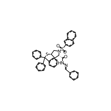 O=C(NN=Cc1ccccc1)[C@@H]1C[C@@H](SC(c2ccccc2)(c2ccccc2)c2ccccc2)CN1S(=O)(=O)c1ccc2ccccc2c1